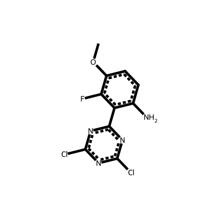 COc1ccc(N)c(-c2nc(Cl)nc(Cl)n2)c1F